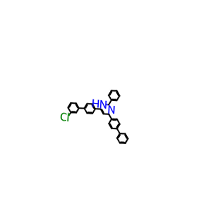 Clc1cccc(-c2ccc(C3=CC(c4ccc(-c5ccccc5)cc4)=NC(c4ccccc4)N3)cc2)c1